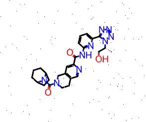 C[C@H](CO)n1nnnc1-c1cccc(NC(=O)c2cc3c(cn2)CCN(C(=O)N2C4CCCC2CC4)C3)n1